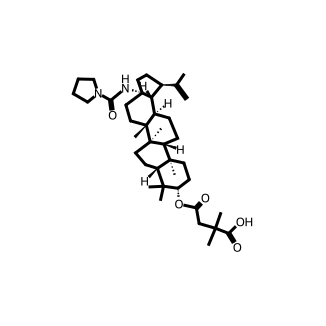 C=C(C)[C@@H]1CC[C@]2(NC(=O)N3CCCC3)CC[C@]3(C)[C@H](CC[C@@H]4[C@@]5(C)CC[C@H](OC(=O)CC(C)(C)C(=O)O)C(C)(C)[C@@H]5CC[C@]43C)[C@@H]12